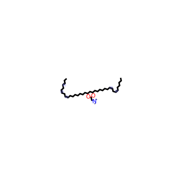 CC/C=C/C/C=C\C/C=C\CCCCCCCC(CCCCCCCC/C=C\C/C=C\CCCCC)OC(=O)CN(C)C